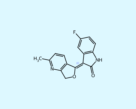 Cc1ccc2c(n1)CO/C2=C1\C(=O)Nc2ccc(F)cc21